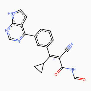 N#C/C(C(=O)NC=O)=C(\c1cccc(-c2ncnc3[nH]ccc23)c1)C1CC1